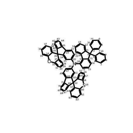 c1ccc(C2(c3ccccc3)c3ccccc3-c3c(N(c4ccc5c(c4)C4(c6ccccc6Oc6ccccc64)c4ccccc4-5)c4ccc5c(c4)C4(c6ccccc6Sc6ccccc64)c4ccccc4-5)cccc32)cc1